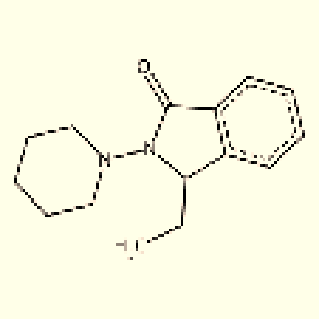 CCC1c2ccccc2C(=O)N1N1CCCCC1